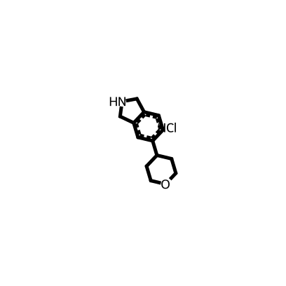 Cl.c1cc2c(cc1C1CCOCC1)CNC2